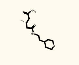 C[C@@H]([CH]C(=S)NCCC1CCOCC1)CC(N)=O